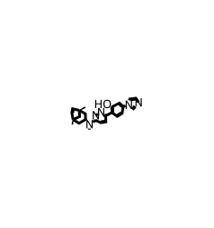 CN(c1ccc(-c2ccc(-n3ccnc3)cc2O)nn1)[C@H]1C[C@]2(C)C=C[C@](C)(C1)C2